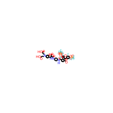 O=C(O)CCN(CCC(=O)O)c1ccc2cc(C(=O)N[C@H]3CC[C@H](NC(=O)c4ccc5c(c4)C4(OC5=O)c5cc(F)c(OS(=O)(=O)C(F)(F)F)c(F)c5Oc5c4cc(F)c(OS(=O)(=O)C(F)(F)F)c5F)CC3)c(=O)oc2c1